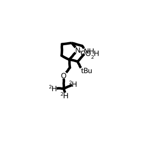 [2H]C([2H])([2H])OCC12CCC(CNC1C(C)(C)C)N2C(=O)O